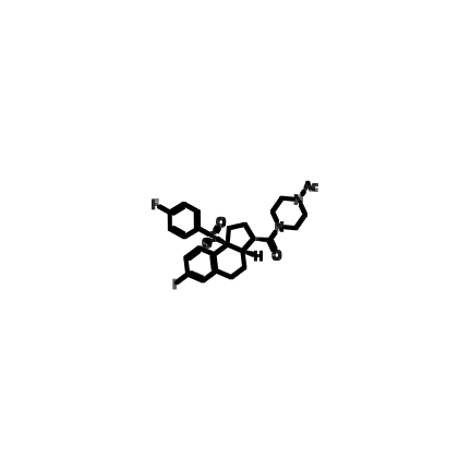 CC(=O)N1CCN(C(=O)[C@@H]2CC[C@@]3(S(=O)(=O)c4ccc(F)cc4)c4ccc(I)cc4CC[C@@H]23)CC1